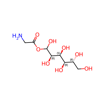 NCC(=O)OC(O)[C@H](O)[C@@H](O)[C@H](O)[C@H](O)CO